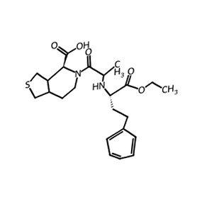 CCOC(=O)[C@H](CCc1ccccc1)NC(C)C(=O)N1CCC2CSCC2[C@H]1C(=O)O